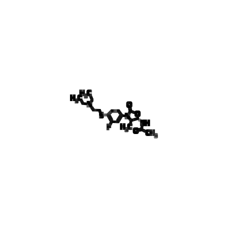 CCN(CC)CCSc1ccc(N2C(=O)O[C@H](NC(C)=O)C2C)cc1F